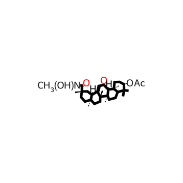 CC(=O)O[C@H]1CC[C@@]2(C)C(CC[C@]3(C)[C@@H]2C(=O)C=C2[C@@H]4C[C@@](C)(C(=O)N(C)O)CC[C@]4(C)CC[C@]23C)C1(C)C